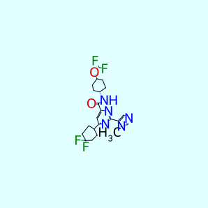 Cn1cncc1-c1nc(C(=O)N[C@H]2CC[C@H](OC(F)F)CC2)cc(C2CCC(F)(F)CC2)n1